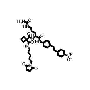 NC(=O)NCCCC(NC(=O)C1(C(=O)NCCCCCN2C(=O)C=CC2=O)CCC1)C(=O)Nc1ccc(CCc2ccc([N+](=O)[O-])cc2)cc1